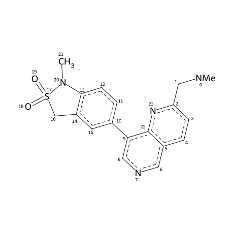 CNCc1ccc2cncc(-c3ccc4c(c3)CS(=O)(=O)N4C)c2n1